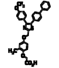 Cc1cc(OCc2nc(-c3ccc(OC(F)(F)F)cc3)c(-c3ccc(-c4ccccc4)cc3)s2)ccc1OCC(=O)O